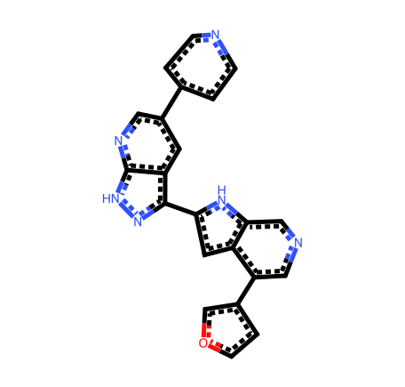 c1cc(-c2cnc3[nH]nc(-c4cc5c(-c6ccoc6)cncc5[nH]4)c3c2)ccn1